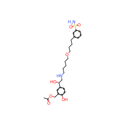 CC(=O)OCc1cc([C@@H](O)CNCCCCCOCCCCc2cccc(S(N)(=O)=O)c2)ccc1O